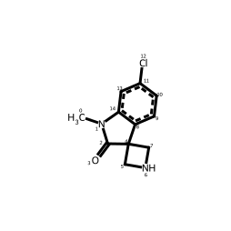 CN1C(=O)C2(CNC2)c2ccc(Cl)cc21